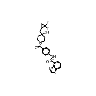 O=C(c1ccc(N[S+]([O-])c2cccc3scnc23)cc1)N1CCC(O)(CC2CC2(F)F)CC1